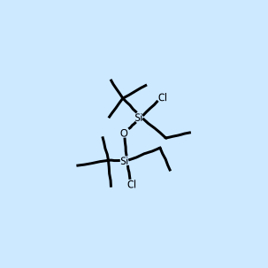 CC[Si](Cl)(O[Si](Cl)(CC)C(C)(C)C)C(C)(C)C